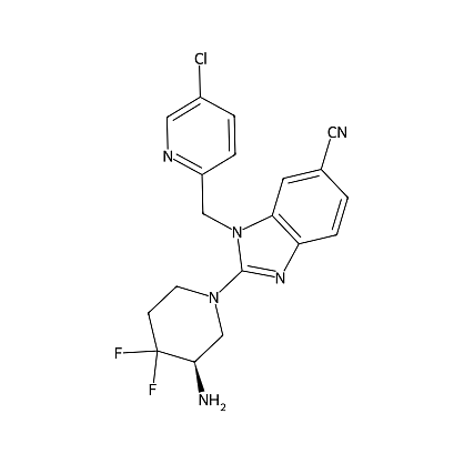 N#Cc1ccc2nc(N3CCC(F)(F)[C@H](N)C3)n(Cc3ccc(Cl)cn3)c2c1